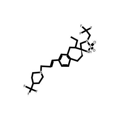 CCC1Cc2cc(/C=C/CN3CCC(C(F)(F)F)CC3)ccc2CC[C@]12CN(CC(F)(F)F)S(=O)(=O)N2